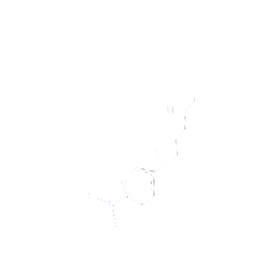 CCC[SiH2]CCCS(=O)(=O)c1ccc(N(CC)CC)cc1